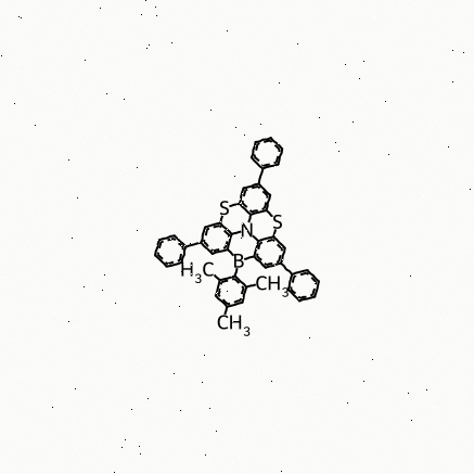 Cc1cc(C)c(B2c3cc(-c4ccccc4)cc4c3N3c5c(cc(-c6ccccc6)cc5Sc5cc(-c6ccccc6)cc2c53)S4)c(C)c1